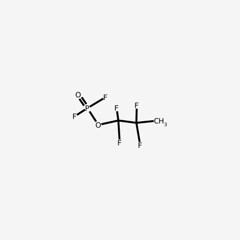 CC(F)(F)C(F)(F)OP(=O)(F)F